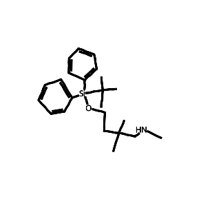 CNCC(C)(C)CCO[Si](c1ccccc1)(c1ccccc1)C(C)(C)C